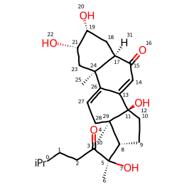 CC(C)CCC(=O)[C@](C)(O)[C@H]1CC[C@@]2(O)C3=CC(=O)[C@@H]4C[C@@H](O)[C@@H](O)C[C@]4(C)C3=CC[C@]12C